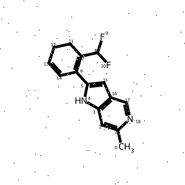 Cc1cc2[nH]c(C3=C(C(F)F)CCC=C3)cc2cn1